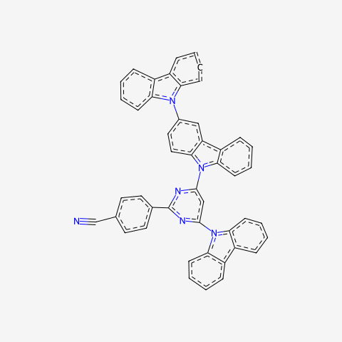 N#Cc1ccc(-c2nc(-n3c4ccccc4c4ccccc43)cc(-n3c4ccccc4c4cc(-n5c6ccccc6c6ccccc65)ccc43)n2)cc1